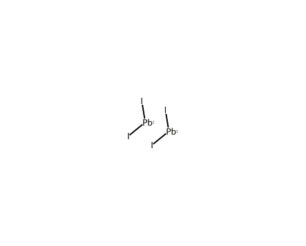 [I][Pb][I].[I][Pb][I]